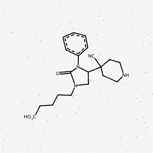 N#CC1(C2CN(CCCCC(=O)O)C(=O)N2c2ccccc2)CCNCC1